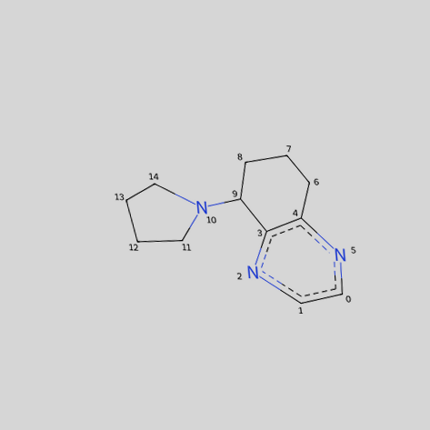 c1cnc2c(n1)CCCC2N1CCCC1